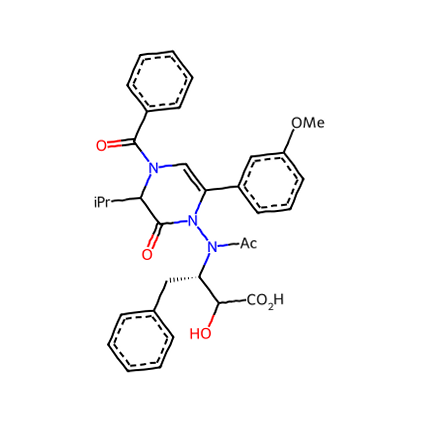 COc1cccc(C2=CN(C(=O)c3ccccc3)C(C(C)C)C(=O)N2N(C(C)=O)[C@@H](Cc2ccccc2)C(O)C(=O)O)c1